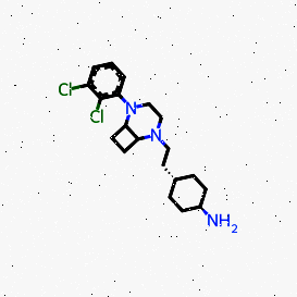 N[C@H]1CC[C@H](CCN2CCN(c3cccc(Cl)c3Cl)C3CCC32)CC1